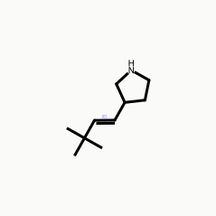 CC(C)(C)/C=C/C1CCNC1